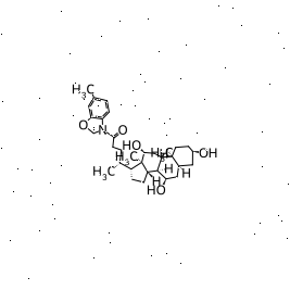 Cc1ccc2c(c1)OCN2C(=O)CC[C@@H](C)[C@H]1CC[C@H]2[C@@H]3[C@H](O)C[C@@H]4C[C@H](O)CC[C@]4(C)[C@H]3C[C@H](O)[C@]12C